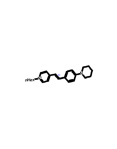 CCCCCC[n+]1ccc(/C=C/c2ccc(N3CCCCC3)cc2)cc1